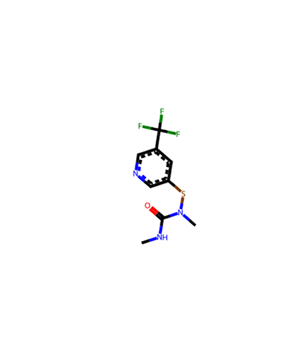 CNC(=O)N(C)Sc1cncc(C(F)(F)F)c1